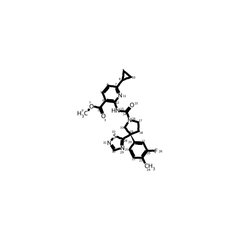 COC(=O)c1ccc(C2CC2)nc1NC(=O)N1CC[C@](c2ccc(C)c(F)c2)(c2ncns2)C1